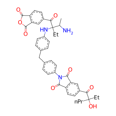 CCCC(O)(CC)C(=O)c1ccc2c(c1)C(=O)N(c1ccc(Cc3ccc(NC(CC)(C(=O)c4ccc5c(c4)C(=O)OC5=O)C(C)N)cc3)cc1)C2=O